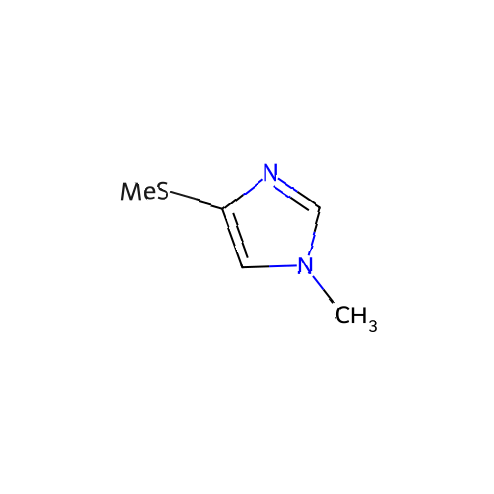 CSc1cn(C)cn1